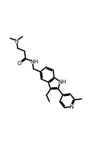 CCc1c(-c2ccnc(C)c2)[nH]c2ccc(CNC(=O)CCN(C)C)cc12